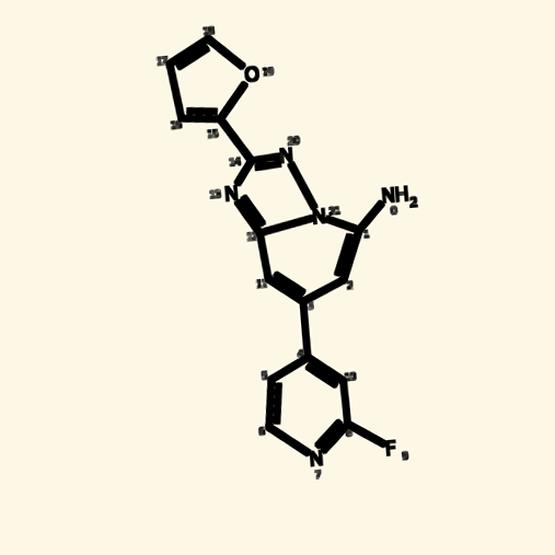 Nc1cc(-c2ccnc(F)c2)cc2nc(-c3ccco3)nn12